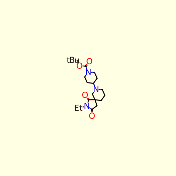 CCN1C(=O)CC2(CCCN(C3CCN(C(=O)OC(C)(C)C)CC3)C2)C1=O